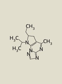 CCC1Cc2c(C)nc3ncnn3c2N1C(C)C